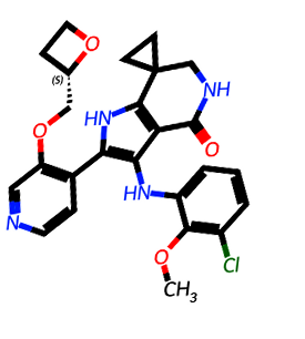 COc1c(Cl)cccc1Nc1c(-c2ccncc2OC[C@@H]2CCO2)[nH]c2c1C(=O)NCC21CC1